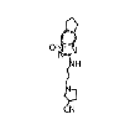 N#CC1CCN(CCCNc2nc3cc4c(cc3[n+]([O-])n2)CCC4)C1